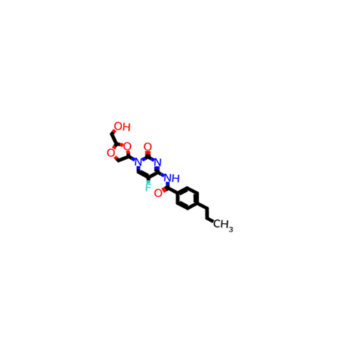 CCCc1ccc(C(=O)Nc2nc(=O)n(C3COC(CO)O3)cc2F)cc1